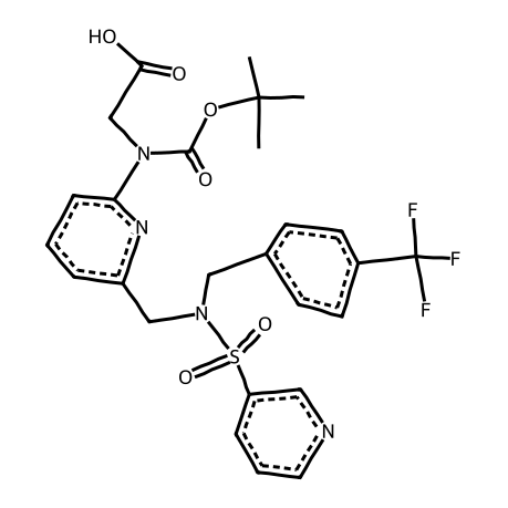 CC(C)(C)OC(=O)N(CC(=O)O)c1cccc(CN(Cc2ccc(C(F)(F)F)cc2)S(=O)(=O)c2cccnc2)n1